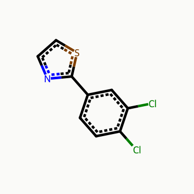 Clc1ccc(-c2nccs2)cc1Cl